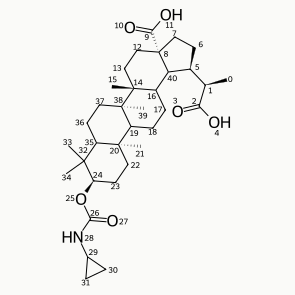 C[C@@H](C(=O)O)[C@@H]1CC[C@]2(C(=O)O)CC[C@]3(C)C(CCC4[C@@]5(C)CC[C@@H](OC(=O)NC6CC6)C(C)(C)C5CC[C@]43C)C12